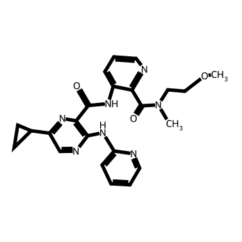 COCCN(C)C(=O)c1ncccc1NC(=O)c1nc(C2CC2)cnc1Nc1ccccn1